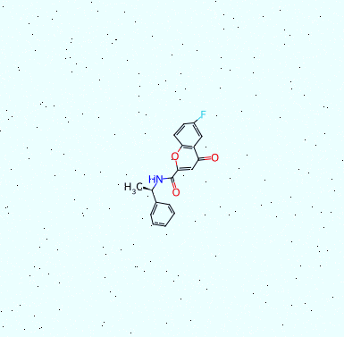 C[C@@H](NC(=O)c1cc(=O)c2cc(F)ccc2o1)c1ccccc1